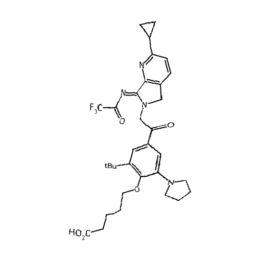 CC(C)(C)c1cc(C(=O)CN2Cc3ccc(C4CC4)nc3/C2=N/C(=O)C(F)(F)F)cc(N2CCCC2)c1OCCCCC(=O)O